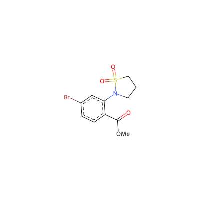 COC(=O)c1ccc(Br)cc1N1CCCS1(=O)=O